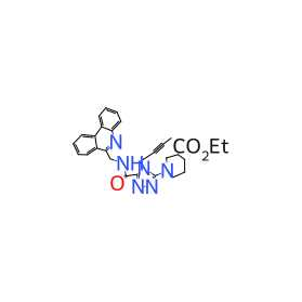 CC#CCn1c(C(=O)NCc2nc3ccccc3c3ccccc23)nnc1N1CCCC(C(=O)OCC)C1